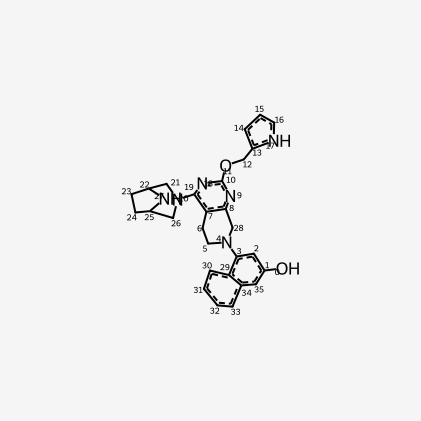 Oc1cc(N2CCc3c(nc(OCc4ccc[nH]4)nc3N3CC4CCC(C3)N4)C2)c2ccccc2c1